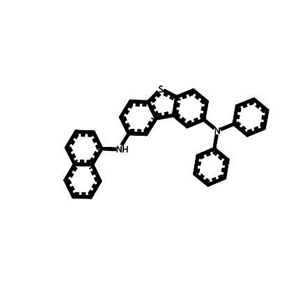 c1ccc(N(c2ccccc2)c2ccc3sc4ccc(Nc5cccc6ccccc56)cc4c3c2)cc1